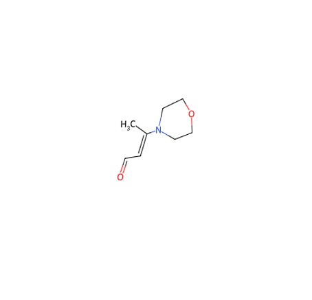 CC(=CC=O)N1CCOCC1